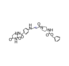 O=C1CCC(NC(=O)c2ccc(NC/C=C/C(=O)N3CCC(NC(=O)OCc4ccccc4)CC3)cc2)C(=O)N1